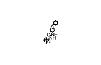 Cc1nc(NC(=O)NC2CCN(Cc3ccccc3)CC2)nn1C